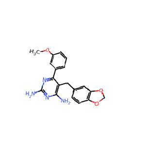 COc1cccc(-c2nc(N)nc(N)c2Cc2ccc3c(c2)OCO3)c1